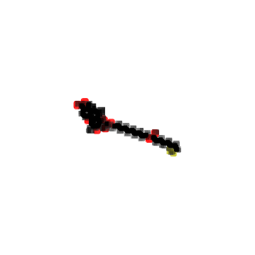 CC(C)[C@]12O[C@H]1[C@@H]1O[C@]13[C@]1(O[C@H]1C[C@H]1C4=C(CC[C@@]13C)C(=O)OC4)[C@@H]2OC(=O)OCCCCCCCCCCOC(=O)CCCCC1CCSS1